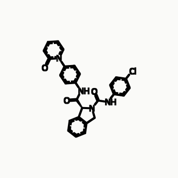 O=C(Nc1ccc(-n2ccccc2=O)cc1)[C@@H]1c2ccccc2CN1C(=O)Nc1ccc(Cl)cc1